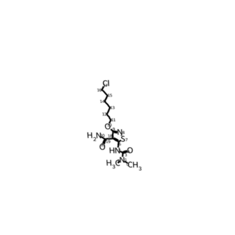 CN(C)C(=O)Nc1snc(OCCCCCCCl)c1C(N)=O